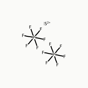 F[P-](F)(F)(F)(F)F.F[P-](F)(F)(F)(F)F.[S+2]